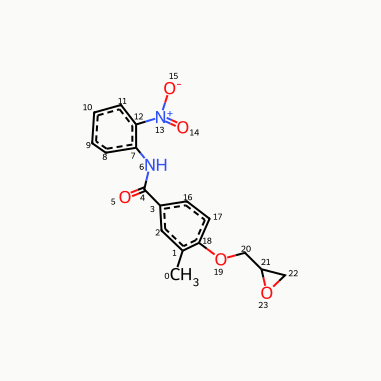 Cc1cc(C(=O)Nc2ccccc2[N+](=O)[O-])ccc1OCC1CO1